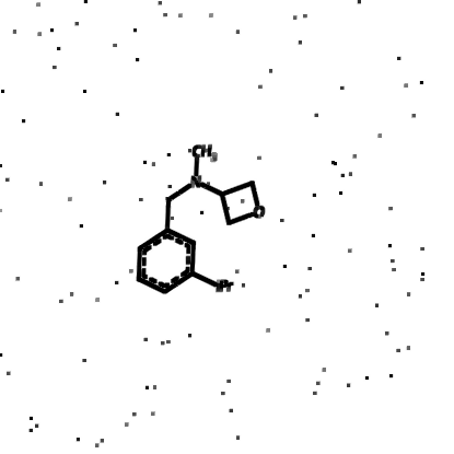 CC(C)c1cccc(CN(C)C2COC2)c1